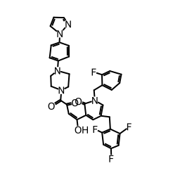 O=C(/C=C(/O)c1cc(Cc2c(F)cc(F)cc2F)cn(Cc2ccccc2F)c1=O)C(=O)N1CCN(c2ccc(-n3cccn3)cc2)CC1